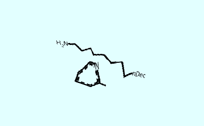 CCCCCCCCCCCCCCCCCCN.Cc1ccccn1